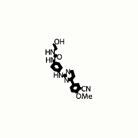 COc1ccc(-c2ccnc(Nc3ccc(NC(=O)NCCO)cc3)n2)cc1C#N